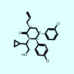 C=CC[C@H]1C[C@H](c2cccc(Cl)c2)[C@@H](c2ccc(Cl)cc2)N(C(CO)C2CC2)C1=O